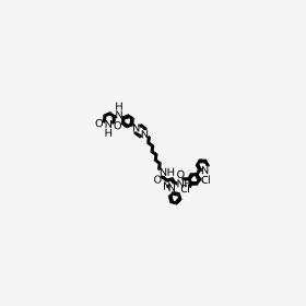 O=C1CCC(Nc2ccc(N3CCN(CCCCCCCCNC(=O)c4cc(NC(=O)c5cc(-c6ccccn6)c(Cl)cc5Cl)n(-c5ccccc5)n4)CC3)cc2)C(=O)N1